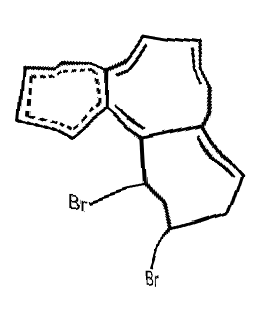 BrC1CC=C2C=CC=c3ccccc3=C2C1Br